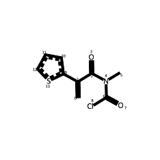 C=C(C(=O)N(C)C(=O)Cl)c1cccs1